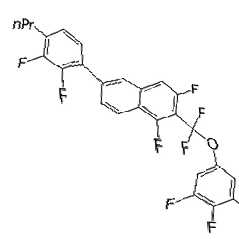 CCCc1ccc(-c2ccc3c(F)c(C(F)(F)Oc4cc(F)c(F)c(F)c4)c(F)cc3c2)c(F)c1F